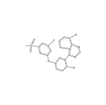 CS(=O)(=O)c1cc(F)cc(Oc2ccc(Cl)c(-c3ncnc4c(Cl)cccc34)c2)c1